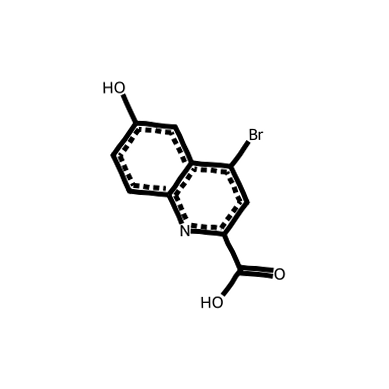 O=C(O)c1cc(Br)c2cc(O)ccc2n1